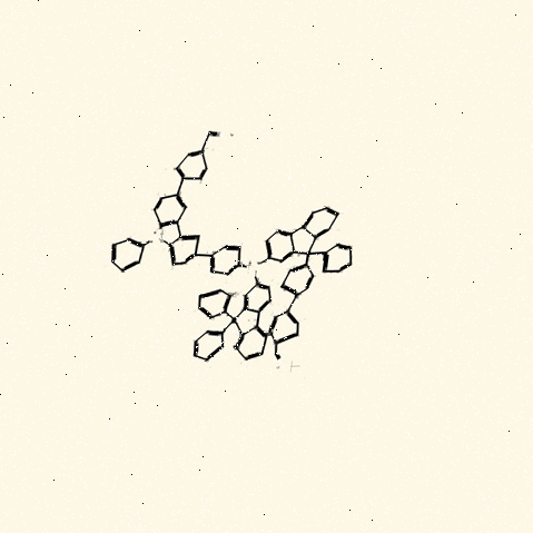 C=Cc1ccc(-c2ccc(C3(c4ccccc4)c4ccccc4-c4ccc(N(c5ccc(-c6ccc7c(c6)c6cc(-c8ccc(C=C)cc8)ccc6n7-c6ccccc6)cc5)c5ccc6c(c5)C(c5ccccc5)(c5ccccc5)c5ccccc5-6)cc43)cc2)cc1